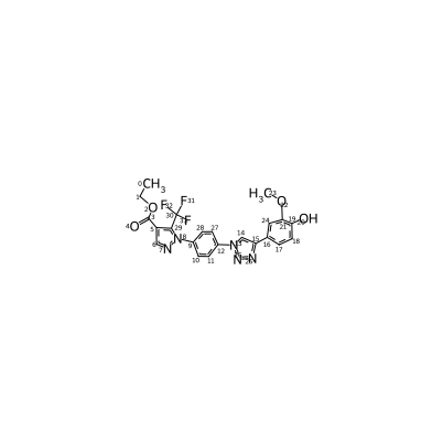 CCOC(=O)c1cnn(-c2ccc(-n3cc(-c4ccc(O)c(OC)c4)nn3)cc2)c1C(F)(F)F